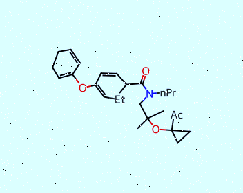 CC/C=C(\C=C/C(C)C(=O)N(CCC)CC(C)(C)OC1(C(C)=O)CC1)OC1=CCCC=C1